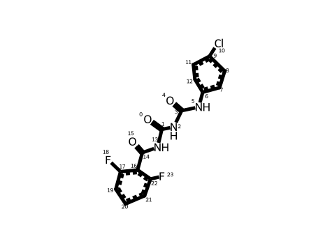 O=C(NC(=O)Nc1ccc(Cl)cc1)NC(=O)c1c(F)cccc1F